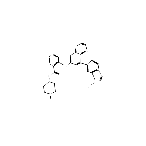 CN1CCC(NC(=O)c2ccncc2Nc2cc(-c3ccc4ccn(C)c4c3)c3nccnc3c2)CC1